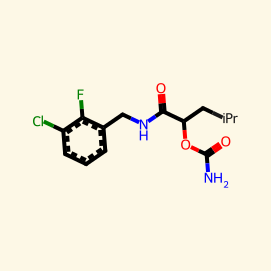 CC(C)CC(OC(N)=O)C(=O)NCc1cccc(Cl)c1F